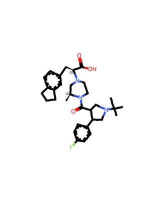 C[C@H]1CN([C@@H](Cc2ccc3c(c2)CCC3)C(=O)O)CCN1C(=O)C1CN(C(C)(C)C)CC1c1ccc(F)cc1